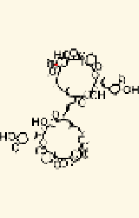 CO[C@H]1C[C@@H](C)C/C(C)=C/[C@@H](C/C=C/CC2/C=C(\C)C[C@H](C)C[C@H](OC)[C@H]3O[C@@](O)(C(=O)C(=O)N4CCCCC4C(=O)O[C@H](/C(C)=C/[C@@H]4CC[C@@H](O)[C@H](OC)C4)[C@H](C)[C@@H](O)CC2=O)[C@H](C)C[C@H]3OC)C(=O)C[C@H](O)[C@@H](C)[C@@H](/C(C)=C/[C@@H]2CC[C@@H](O)[C@H](OC)C2)OC(=O)C2CCCCN2C(=O)C(=O)C2O[C@H]1[C@H](OC)C[C@H]2C